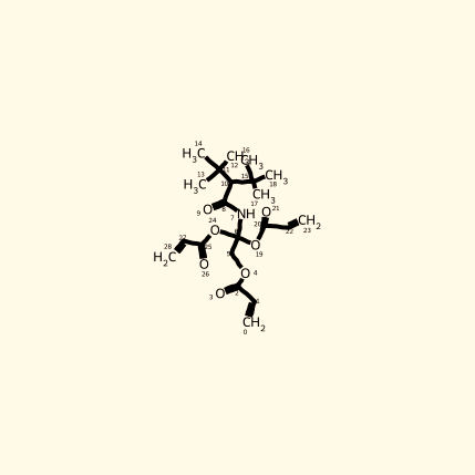 C=CC(=O)OCC(NC(=O)C(C(C)(C)C)C(C)(C)C)(OC(=O)C=C)OC(=O)C=C